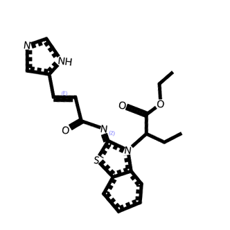 CCOC(=O)C(CC)n1/c(=N/C(=O)/C=C/c2cnc[nH]2)sc2ccccc21